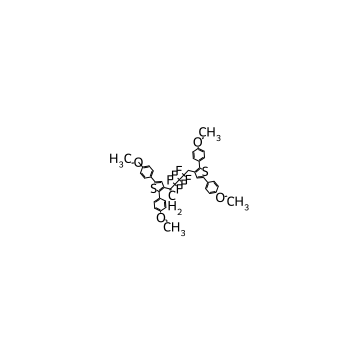 C=C(c1cc(-c2ccc(OCC)cc2)sc1-c1ccc(OCC)cc1)C(F)(F)C(F)(F)C(F)(F)Cc1cc(-c2ccc(OCC)cc2)sc1-c1ccc(OCC)cc1